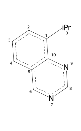 CC(C)c1cccc2cncnc12